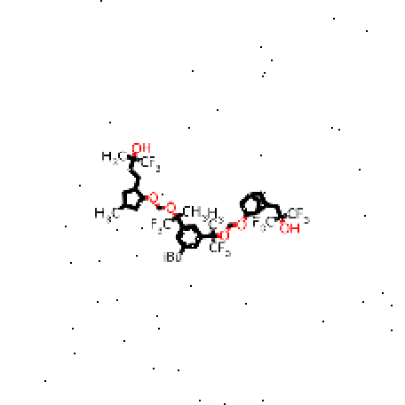 CCC(C)c1cc(C(C)(OCOC2CC(C)CC2CCC(C)(O)C(F)(F)F)C(F)(F)F)cc(C(C)(OCOC2CC3CC(CC(O)(C(F)(F)F)C(F)(F)F)C2C3)C(F)(F)F)c1